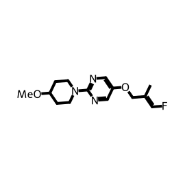 COC1CCN(c2ncc(OC/C(C)=C/F)cn2)CC1